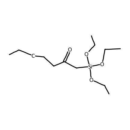 CCCCCC(=O)C[Si](OCC)(OCC)OCC